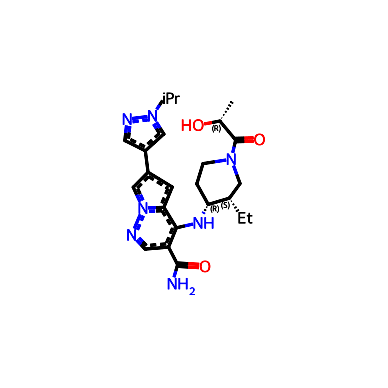 CC[C@H]1CN(C(=O)[C@@H](C)O)CC[C@H]1Nc1c(C(N)=O)cnn2cc(-c3cnn(C(C)C)c3)cc12